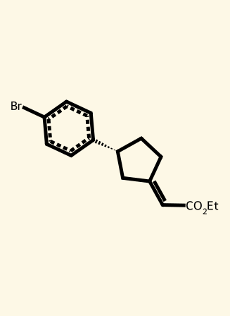 CCOC(=O)/C=C1\CC[C@@H](c2ccc(Br)cc2)C1